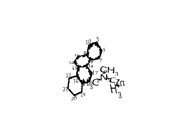 CN(C)C.[Zn].c1ccc2c(c1)ccc1c3c(ccc12)CCCC3